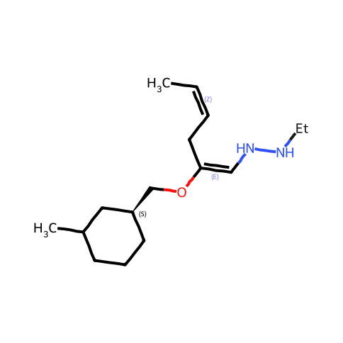 C/C=C\C/C(=C\NNCC)OC[C@H]1CCCC(C)C1